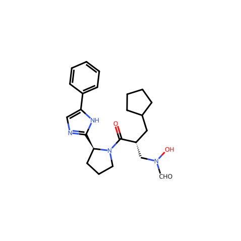 O=CN(O)C[C@@H](CC1CCCC1)C(=O)N1CCC[C@H]1c1ncc(-c2ccccc2)[nH]1